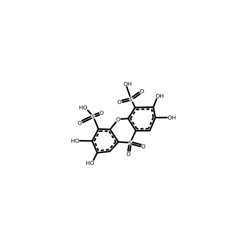 O=S(=O)(O)c1c(O)c(O)cc2c1Oc1c(cc(O)c(O)c1S(=O)(=O)O)S2(=O)=O